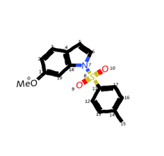 COc1ccc2ccn(S(=O)(=O)c3ccc(C)cc3)c2c1